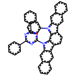 c1ccc(-c2nc(-c3ccccc3)nc(-n3c4cc5ccccc5cc4c4ccc5c6cc7ccccc7cc6n(-c6ccccc6)c5c43)n2)cc1